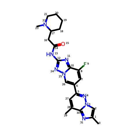 Cc1cn2nc(-c3cc(F)c4nc(NC(=O)CC5CCCCN5C)nn4c3)cc(C)c2n1